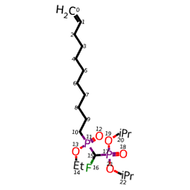 C=CCCCCCCCCCP(=O)(OCC)C(F)P(=O)(OC(C)C)OC(C)C